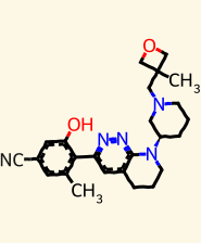 Cc1cc(C#N)cc(O)c1-c1cc2c(nn1)N([C@@H]1CCCN(CC3(C)COC3)C1)CCC2